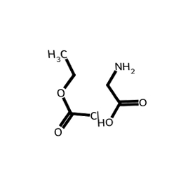 CCOC(=O)Cl.NCC(=O)O